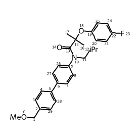 COCc1ccc(-c2ccc(N(CC(C)C)C(=O)C(C)(C)Oc3ccc(F)cc3)cc2)cc1